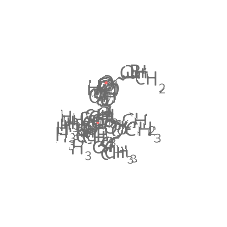 C=C(Br)CC(O)CC[C@H]1OC2C3CC1OC1C(O3)[C@H]2OC2CCC(CC(=O)CC3C(CC4OC(CCCO[Si](CC)(CC)CC)CC(C)C4=C)OC(CC(CO[Si](C)(C)C(C)(C)C)O[Si](C)(C)C(C)(C)C)[C@@H]3OC)O[C@@H]21